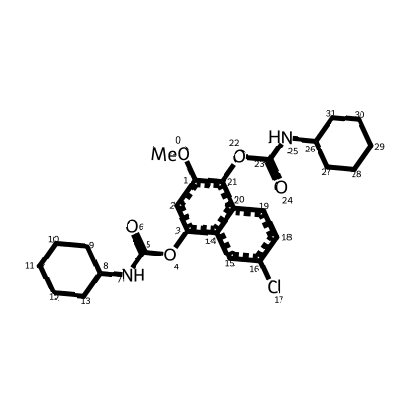 COc1cc(OC(=O)NC2CCCCC2)c2cc(Cl)ccc2c1OC(=O)NC1CCCCC1